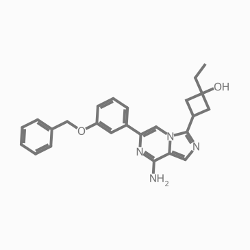 CCC1(O)CC(c2ncc3c(N)nc(-c4cccc(OCc5ccccc5)c4)cn23)C1